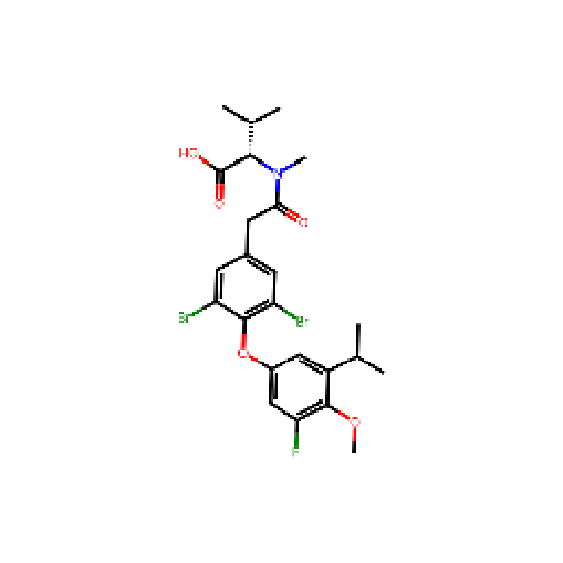 COc1c(F)cc(Oc2c(Br)cc(CC(=O)N(C)[C@H](C(=O)O)C(C)C)cc2Br)cc1C(C)C